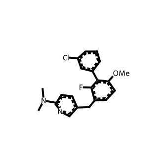 COc1ccc(Cc2ccc(N(C)C)nc2)c(F)c1-c1cccc(Cl)c1